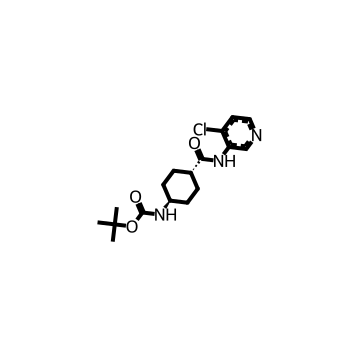 CC(C)(C)OC(=O)N[C@H]1CC[C@H](C(=O)Nc2cnccc2Cl)CC1